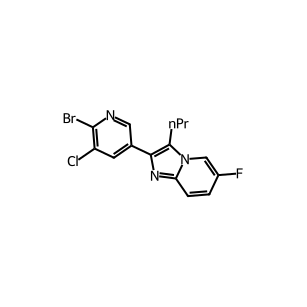 CCCc1c(-c2cnc(Br)c(Cl)c2)nc2ccc(F)cn12